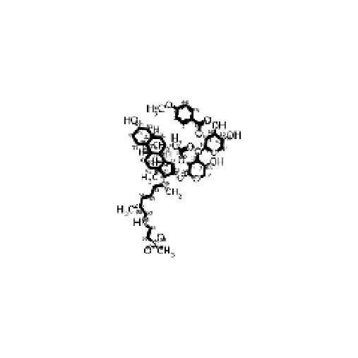 COc1ccc(C(=O)O[C@@H]2C(O)[C@H](O)CO[C@H]2OC2[C@@H](OC(C)=O)[C@H](O[C@H]3C[C@H]4[C@@H]5CC[C@H]6C[C@@H](O)CC[C@]6(C)[C@H]5CC[C@]4(C)[C@H]3[C@H](C)CCC[C@@H](C)CNCCS(C)(=O)=O)OC[C@@H]2O)cc1